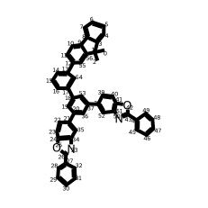 CC1(C)c2ccccc2-c2ccc(-c3cccc(-c4cc(-c5ccc6oc(-c7ccccc7)nc6c5)cc(-c5ccc6oc(-c7ccccc7)nc6c5)c4)c3)cc21